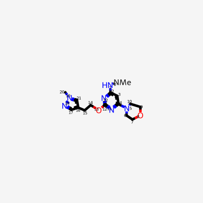 CNNc1cc(N2CCOCC2)nc(OCCc2cnn(C)c2)n1